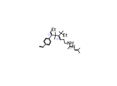 C=Cc1ccc(/C(=C/CC)C(C)(C)/C(=C/CCN/C(C)=N/C=C(C)C)C(C)(C)CC)cc1